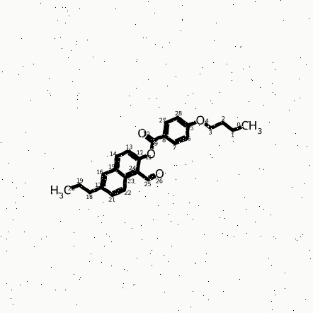 CCCCOc1ccc(C(=O)Oc2ccc3cc(CCC)ccc3c2C=O)cc1